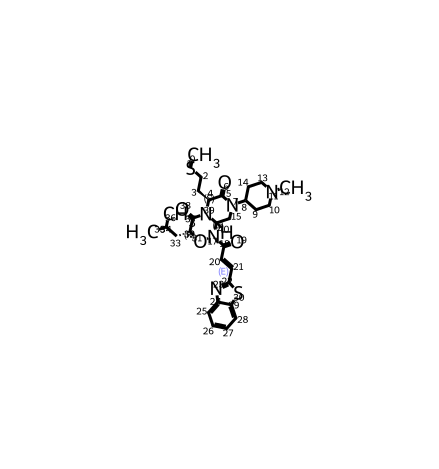 CSCC[C@H]1C(=O)N(C2CCN(C)CC2)C[C@@H]2N(C(=O)/C=C/c3nc4ccccc4s3)O[C@H](CC(C)C)C(=O)N21